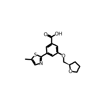 Cc1cnc(-c2cc(OC[C@H]3CCCO3)cc(C(=O)O)c2)s1